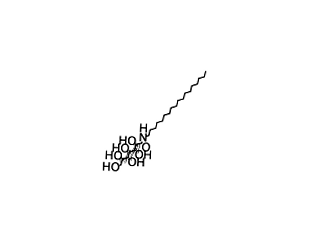 CCCCCCCCCCCCCCCCCCNC(=O)[C@H](O)[C@H](O)[C@H](O)[C@@H](O)[C@H](O)CO